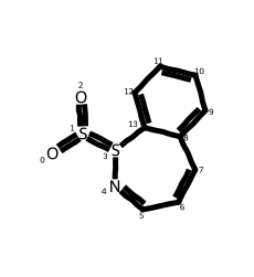 O=S(=O)=S1N=CC=Cc2ccccc21